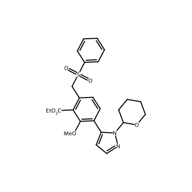 CCOC(=O)c1c(CS(=O)(=O)c2ccccc2)ccc(-c2ccnn2C2CCCCO2)c1OC